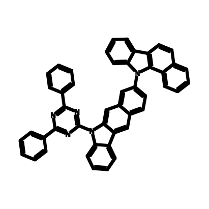 c1ccc(-c2nc(-c3ccccc3)nc(-n3c4ccccc4c4cc5ccc(-n6c7ccccc7c7ccc8ccccc8c76)cc5cc43)n2)cc1